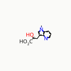 Cn1cc(C[C@H](O)C(=O)O)c2ncccc21